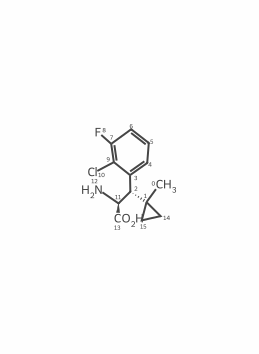 CC1([C@@H](c2cccc(F)c2Cl)[C@H](N)C(=O)O)CC1